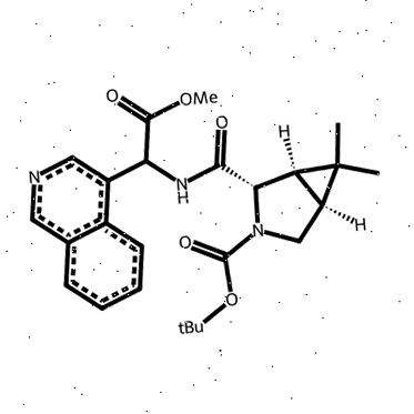 COC(=O)C(NC(=O)[C@@H]1[C@@H]2[C@H](CN1C(=O)OC(C)(C)C)C2(C)C)c1cncc2ccccc12